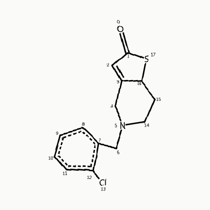 O=C1C=C2CN(Cc3ccccc3Cl)CCC2S1